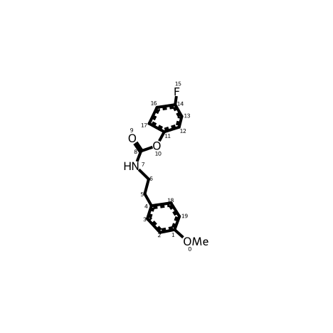 COc1ccc(CCNC(=O)Oc2ccc(F)cc2)cc1